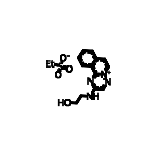 CCS(=O)(=O)[O-].OCCNc1cn[n+]2ccc3ccccc3c2n1